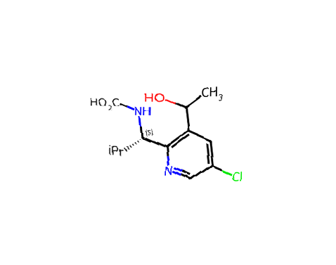 CC(O)c1cc(Cl)cnc1[C@@H](NC(=O)O)C(C)C